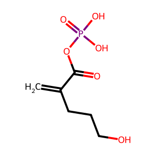 C=C(CCCO)C(=O)OP(=O)(O)O